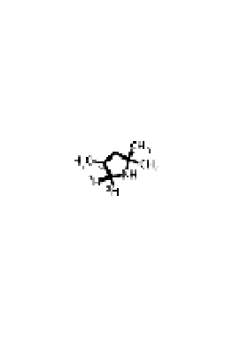 [2H]C1([2H])NC(C)(C)C[C@@H]1C